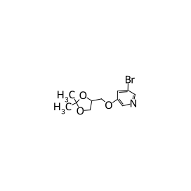 CC1(C)OCC(COc2cncc(Br)c2)O1